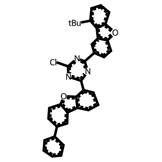 CC(C)(C)c1cccc2oc3ccc(-c4nc(Cl)nc(-c5cccc6c5oc5ccc(-c7ccccc7)cc56)n4)cc3c12